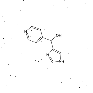 OC(c1ccncc1)c1c[nH]cn1